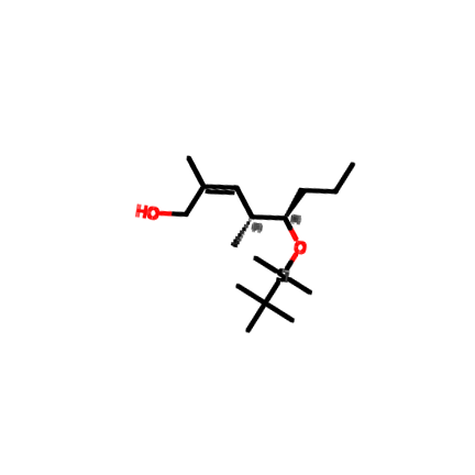 CCC[C@@H](O[Si](C)(C)C(C)(C)C)[C@H](C)C=C(C)CO